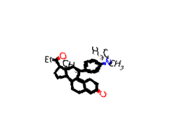 CCC(=O)C1CCC2C3CCC4=CC(=O)CCC4=C3C(c3ccc(N(C)C)cc3)CC12C